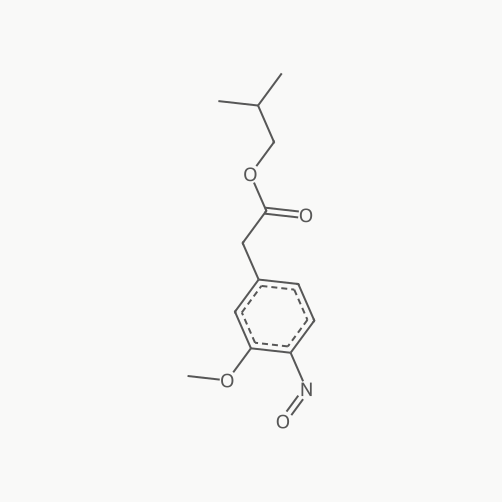 COc1cc(CC(=O)OCC(C)C)ccc1N=O